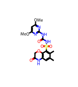 COc1cc(OC)nc(NC(=O)NS(=O)(=O)c2c(C)c(C)cc3c2OCC(=O)N3)n1